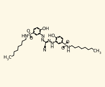 CCCCCCCCNS(=O)(=O)c1ccc(O)c(N=NC(C#N)=NNc2cc(S(=O)(=O)NCCCCCCCC)ccc2O)c1